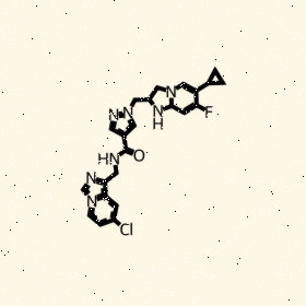 O=C(NCc1ncn2ccc(Cl)cc12)c1cnn(CC2CN3C=C(C4CC4)C(F)=CC3N2)c1